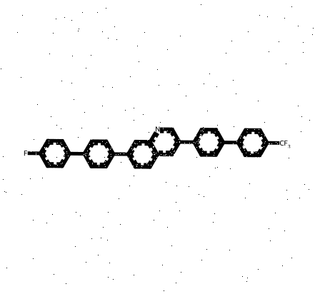 Fc1ccc(-c2ccc(-c3ccc4cc(-c5ccc(-c6ccc(C(F)(F)F)cc6)cc5)cnc4c3)cc2)cc1